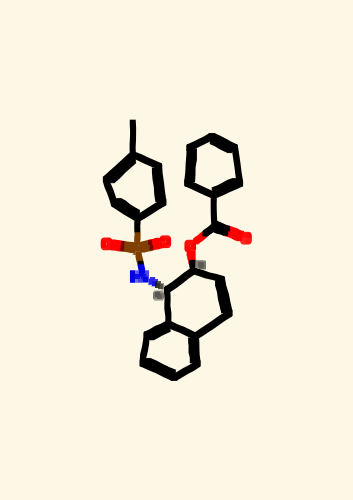 Cc1ccc(S(=O)(=O)N[C@H]2c3ccccc3C=C[C@@H]2OC(=O)c2ccccc2)cc1